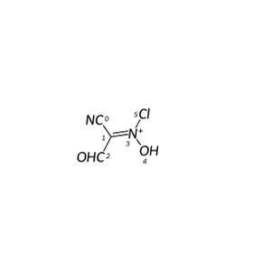 N#CC(C=O)=[N+](O)Cl